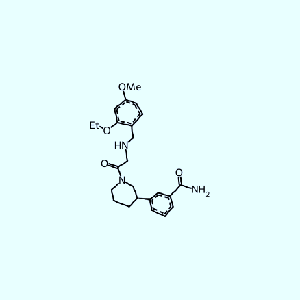 CCOc1cc(OC)ccc1CNCC(=O)N1CCC[C@H](c2cccc(C(N)=O)c2)C1